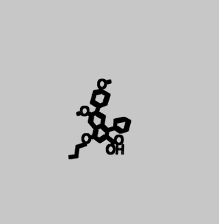 CCCCOc1cc(C(=O)O)c(-c2ccccc2)c2cc(-c3ccc(OC)cc3)c(OC)cc12